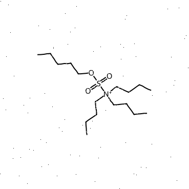 CCCCCOS(=O)(=O)[N+](CCCC)(CCCC)CCCC